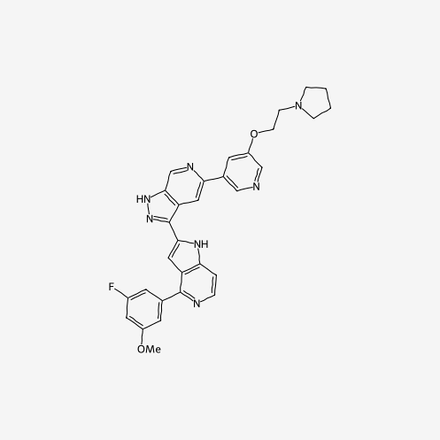 COc1cc(F)cc(-c2nccc3[nH]c(-c4n[nH]c5cnc(-c6cncc(OCCN7CCCC7)c6)cc45)cc23)c1